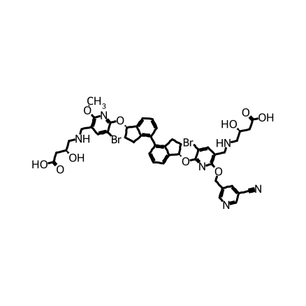 COc1nc(O[C@H]2CCc3c(-c4cccc5c4CC[C@@H]5Oc4nc(OCc5cncc(C#N)c5)c(CNC[C@@H](O)CC(=O)O)cc4Br)cccc32)c(Br)cc1CNC[C@@H](O)CC(=O)O